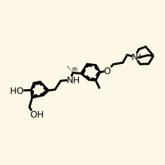 Cc1cc([C@@H](C)NCCc2ccc(O)c(CO)c2)ccc1OCCC[N+]12CCC(CC1)CC2